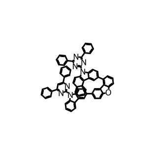 c1ccc(-c2cc(-c3ccccc3)nc(-n3c4ccccc4c4cc(-c5ccc6oc7cccc(-c8ccc9c(c8)c8c%10ccccc%10ccc8n9-c8nc(-c9ccccc9)nc(-c9ccccc9)n8)c7c6c5)ccc43)n2)cc1